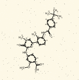 COc1cc(Nc2nc(-c3cccc(NC(=O)c4ccc(C(C)(C)C)cc4)c3C)cn(C)c2=O)ccc1C(=O)O